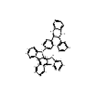 c1ccc(C2Nc3ccccc3N=C2c2ccc(-n3c4ccccc4c4c5ccccc5c5c6ccccc6sc5c43)cc2)cc1